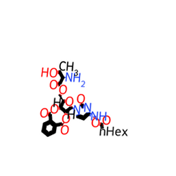 CCCCCCC(=O)ONc1ccn([C@@H]2O[C@H](COC(=O)[C@@H](N)[C@H](C)O)[C@H]3OC(=O)c4ccccc4C(=O)O[C@H]32)c(=O)n1